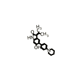 CC(C)=C1C(=O)Nc2cc(O)c(-c3ccc(N4CCCCC4)cc3)cc21